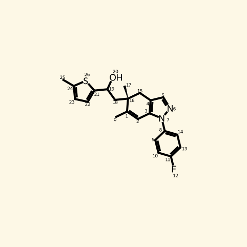 CC1=Cc2c(cnn2-c2ccc(F)cc2)C[C@@]1(C)CC(O)c1ccc(C)s1